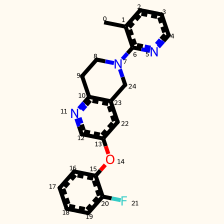 Cc1cccnc1N1CCc2ncc(Oc3ccccc3F)cc2C1